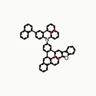 c1ccc(-c2cc(-c3cccc4ccccc34)ccc2N(c2ccccc2)c2ccc(-c3cc4ccccc4c4ccccc34)c(-c3ccc4oc5ccccc5c4c3)c2)cc1